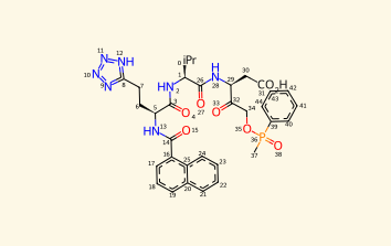 CC(C)[C@H](NC(=O)[C@H](CCc1nnn[nH]1)NC(=O)c1cccc2ccccc12)C(=O)N[C@@H](CC(=O)O)C(=O)COP(C)(=O)c1ccccc1